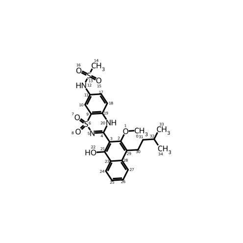 COc1c(C2=NS(=O)(=O)c3cc(NS(C)(=O)=O)ccc3N2)c(O)c2ccccc2c1CCC(C)C